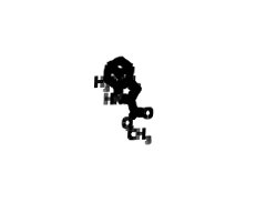 COC(=O)c1cc2c([nH]1)CC1CC2C1(C)C